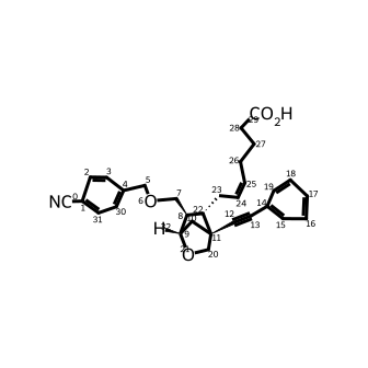 N#Cc1ccc(COC[C@@H]2[C@@H]3C[C@@](C#Cc4ccccc4)(CO3)[C@H]2C/C=C\CCCC(=O)O)cc1